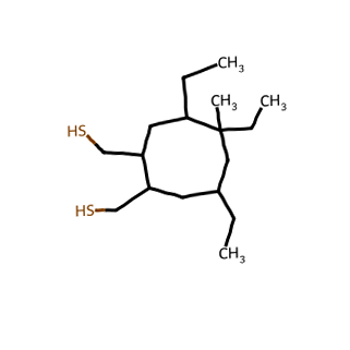 CCC1CC(CS)C(CS)CC(CC)C(C)(CC)C1